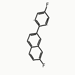 Fc1c[c]c(-c2ccc3ccc(F)cc3c2)[c]c1